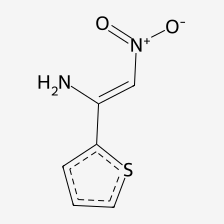 NC(=C[N+](=O)[O-])c1cccs1